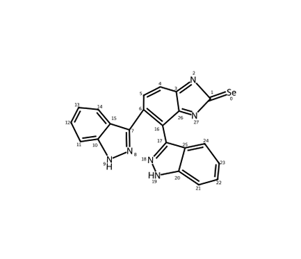 [Se]=C1N=c2ccc(-c3n[nH]c4ccccc34)c(-c3n[nH]c4ccccc34)c2=N1